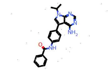 CC(C)n1cc(-c2ccc(NC(=O)c3ccccc3)cc2)c2c(N)ncnc21